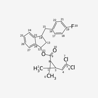 CC1(C)C(C=C(Cl)Cl)C1C(=O)OC1CC(Cc2ccc(F)cc2)c2ccccc21